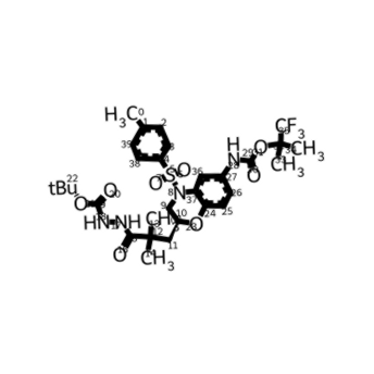 Cc1ccc(S(=O)(=O)N2C[C@H](CC(C)(C)C(=O)NNC(=O)OC(C)(C)C)Oc3ccc(NC(=O)OC(C)(C)C(F)(F)F)cc32)cc1